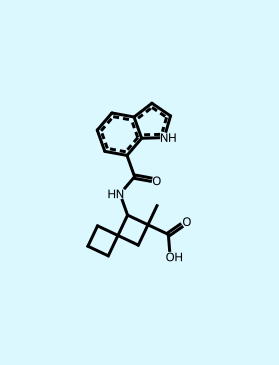 CC1(C(=O)O)CC2(CCC2)C1NC(=O)c1cccc2cc[nH]c12